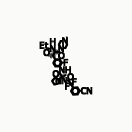 CCC(=O)N[C@@H](C(=O)N1CCN(C)CC1)[C@@H](C)c1ccc(NC(=O)[C@](C)(NC(=O)C(F)(F)c2cccc(C#N)c2)C2CCCC2)c(F)c1